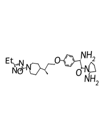 CCc1noc(N2CCC([C@H](C)CCOc3ccc([C@H](N)C(=O)N4CCC[C@H]4N)cc3)CC2)n1